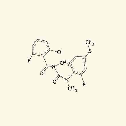 CN(C(=O)c1c(F)cccc1Cl)C(=O)N(C)c1ccc(SC(F)(F)F)cc1F